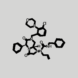 C=CCN(C(=O)NCc1ccccc1)N1CC(=O)N2[C@@H](c3ccccc3)C(=O)N(Cc3cccc(Cl)c3N3CCOCC3)C[C@@H]21